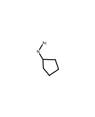 CC(=O)[N]C1CCCC1